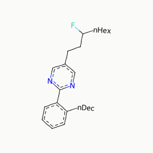 CCCCCCCCCCc1ccccc1-c1ncc(CCC(F)CCCCCC)cn1